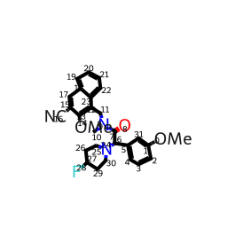 COc1cccc(C(C(=O)N(C)Cc2c(OC)c(C#N)cc3ccccc23)N2CCC(F)CC2)c1